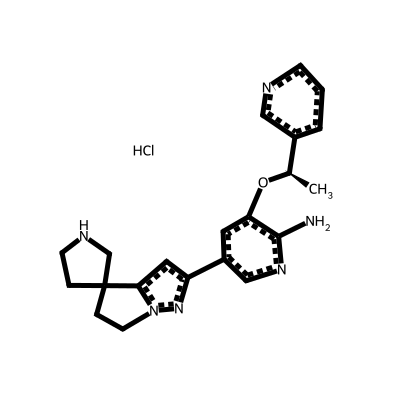 C[C@@H](Oc1cc(-c2cc3n(n2)CCC32CCNC2)cnc1N)c1cccnc1.Cl